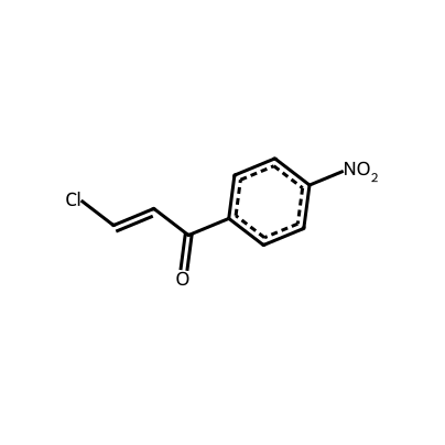 O=C(/C=C/Cl)c1ccc([N+](=O)[O-])cc1